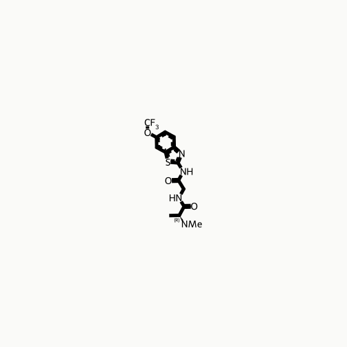 CN[C@H](C)C(=O)NCC(=O)Nc1nc2ccc(OC(F)(F)F)cc2s1